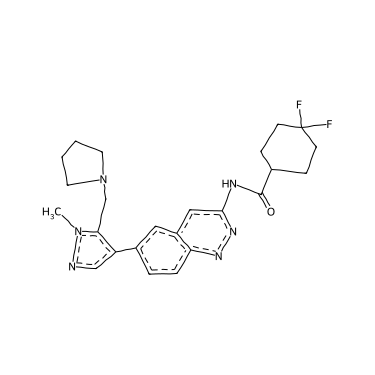 Cn1ncc(-c2ccc3nnc(NC(=O)C4CCC(F)(F)CC4)cc3c2)c1CN1CCCC1